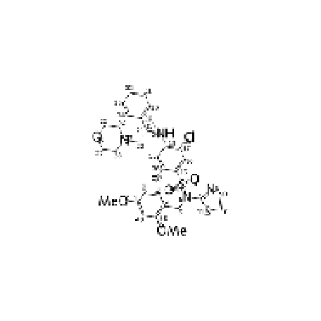 COc1ccc(CN(c2nccs2)S(=O)(=O)c2cc(Cl)c(N[C@H](CN3CCOCC3)c3ccccc3)cc2F)c(OC)c1